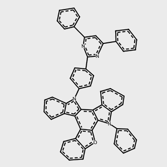 c1ccc(-c2cc(-c3ccccc3)nc(-c3ccc(-n4c5ccccc5c5c6c7ccccc7oc6c6c(c7ccccc7n6-c6ccccc6)c54)cc3)n2)cc1